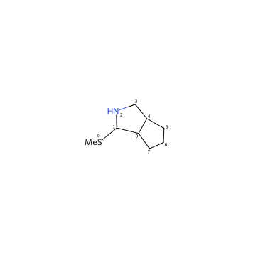 CSC1NCC2CCCC21